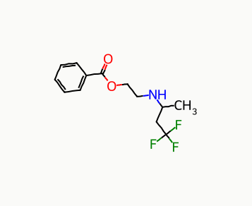 CC(CC(F)(F)F)NCCOC(=O)c1ccccc1